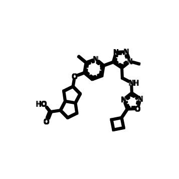 Cc1nc(-c2nnn(C)c2CNc2noc(C3CCC3)n2)ccc1OC1CC2CCC(C(=O)O)C2C1